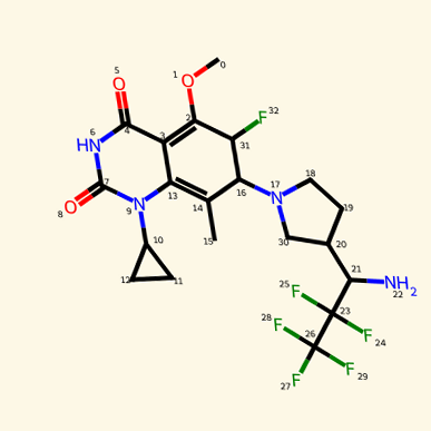 COC1=c2c(=O)[nH]c(=O)n(C3CC3)c2=C(C)C(N2CCC(C(N)C(F)(F)C(F)(F)F)C2)C1F